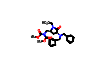 CC(C)(C)OC(=O)N(C[C@@H]1C[C@@H](N(Cc2ccccc2)Cc2ccccc2)C(=O)N1CC(=O)O)C(=O)OC(C)(C)C